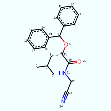 CC(C)C[C@H](OC(c1ccccc1)c1ccccc1)C(=O)NCC#N